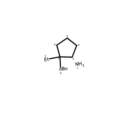 CCCCC1(CC)CCCC1.N